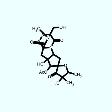 CC(=O)OC1C2(CC3N4C(=O)C5(CO)SSC4(CC31O)C(=O)N5C)OC(C)C(C)(C)C2=O